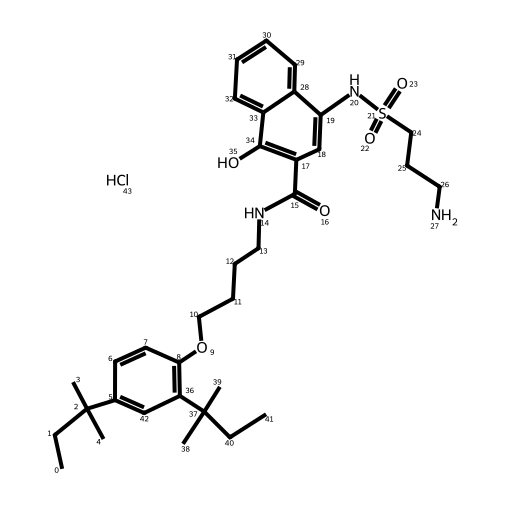 CCC(C)(C)c1ccc(OCCCCNC(=O)c2cc(NS(=O)(=O)CCCN)c3ccccc3c2O)c(C(C)(C)CC)c1.Cl